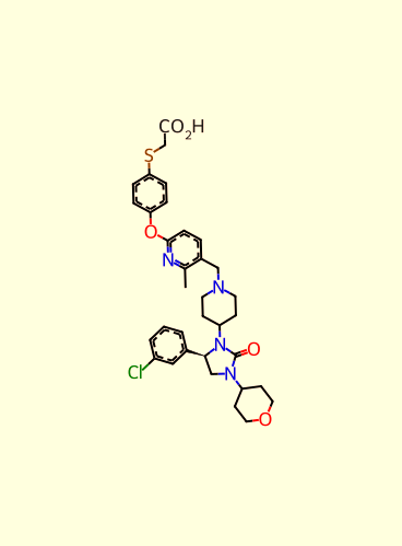 Cc1nc(Oc2ccc(SCC(=O)O)cc2)ccc1CN1CCC(N2C(=O)N(C3CCOCC3)C[C@H]2c2cccc(Cl)c2)CC1